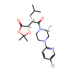 CC(C)C[C@H](C(=O)N1CCN(c2ccc(Cl)cn2)C[C@H]1C)[C@@H]1OC(C)(C)OC1=O